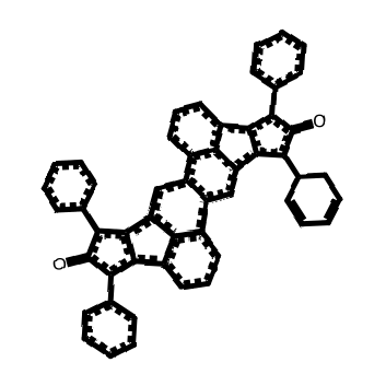 O=c1c(-c2ccccc2)c2c3cccc4c5cc6c7c(C8C=CC=CC8)c(=O)c(-c8ccccc8)c7c7cccc(c5cc(c2c1-c1ccccc1)c43)c76